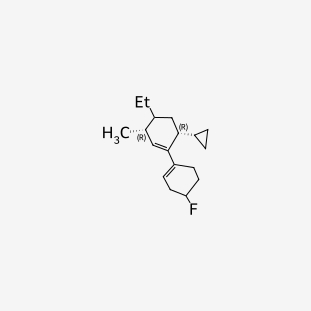 CCC1C[C@H](C2CC2)C(C2=CCC(F)CC2)=C[C@@H]1C